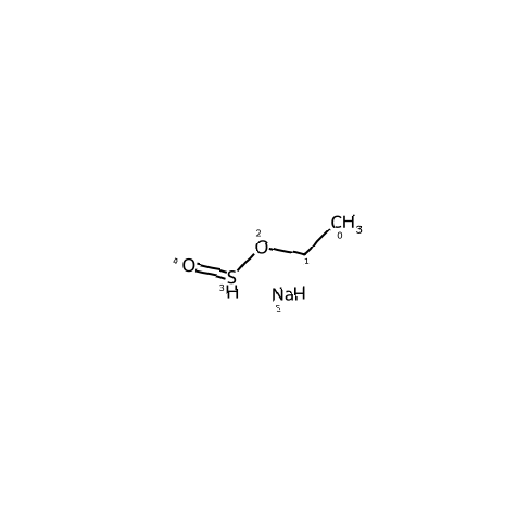 CCO[SH]=O.[NaH]